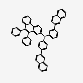 c1ccc(-c2c(-c3ccccc3)c3cc(N(c4ccc(-c5ccc6ccccc6c5)cc4)c4cccc(-c5ccc6ccccc6c5)c4)ccc3c3ccccc23)cc1